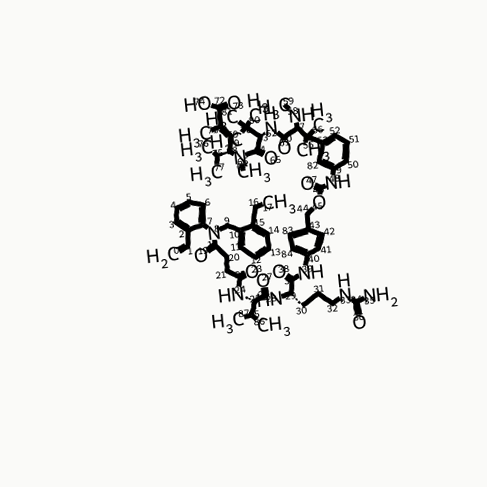 C=Cc1ccccc1N(Cc1ccccc1CC)C(=O)CCC(=O)N[C@H](C(=O)N[C@@H](CCCNC(N)=O)C(=O)Nc1ccc(COC(=O)Nc2cccc(C(C)(C)C(NC)C(=O)N[C@H](C(=O)N(C)[C@H](/C=C(\C)C(=O)O)C(C)C)C(C)(C)C)c2)cc1)C(C)C